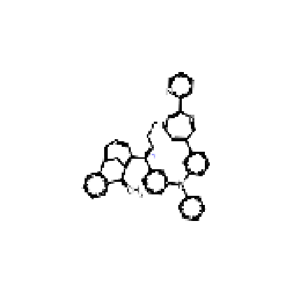 C=C1C2=C(/C(=C\CC)c3cccc(N(c4ccccc4)c4cccc(C5=CCC=C(c6ccccn6)N=C5)c4)c3)C=CC=C(C2)c2ccccc21